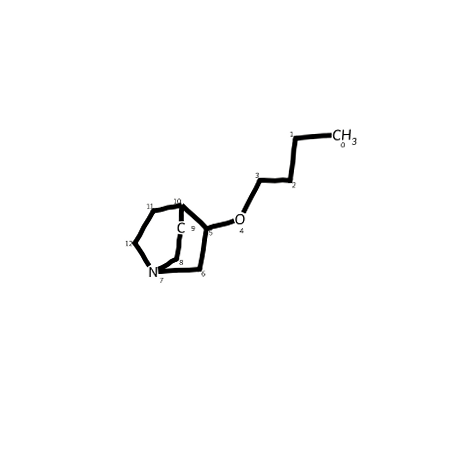 CCCCOC1CN2CCC1CC2